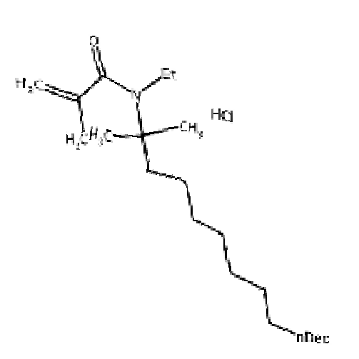 C=C(C)C(=O)N(CC)C(C)(C)CCCCCCCCCCCCCCCCC.Cl